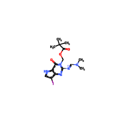 CN(C)/C=N/c1nc2c(I)c[nH]c2c(=O)n1COC(=O)C(C)(C)C